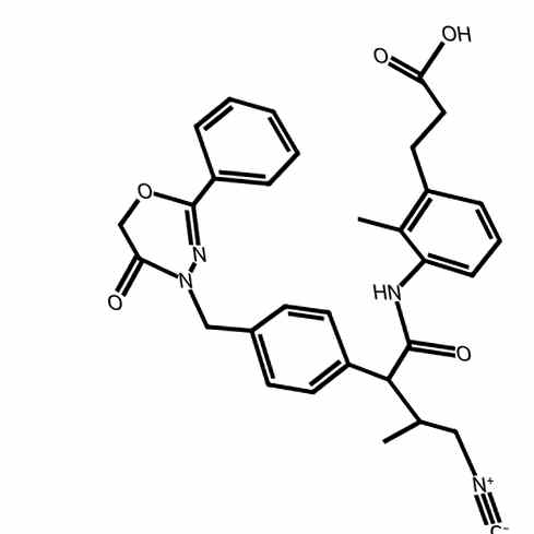 [C-]#[N+]CC(C)C(C(=O)Nc1cccc(CCC(=O)O)c1C)c1ccc(CN2N=C(c3ccccc3)OCC2=O)cc1